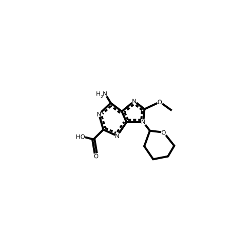 COc1nc2c(N)nc(C(=O)O)nc2n1C1CCCCO1